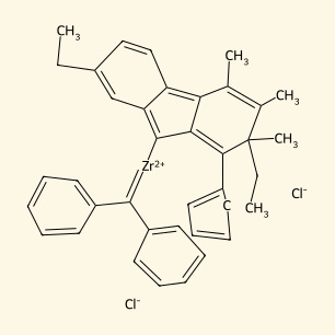 CCc1ccc2c(c1)=[C]([Zr+2]=[C](c1ccccc1)c1ccccc1)C1=C(C3=CC=CC3)C(C)(CC)C(C)=C(C)C=21.[Cl-].[Cl-]